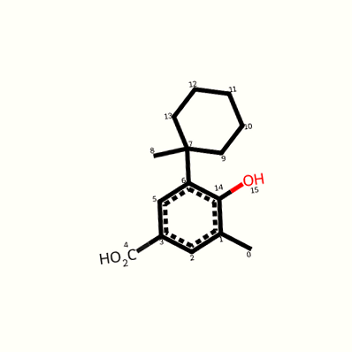 Cc1cc(C(=O)O)cc(C2(C)CCCCC2)c1O